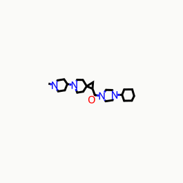 CN1CCC(N2CCC3(CC2)CC3C(=O)N2CCN(C3CCCCC3)CC2)CC1